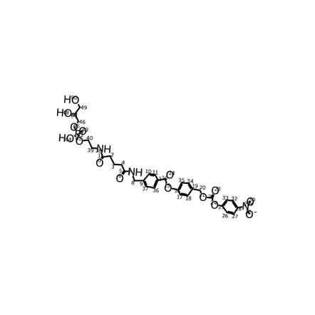 O=C(CCCC(=O)NCc1ccc(C(=O)Oc2ccc(COC(=O)Oc3ccc([N+](=O)[O-])cc3)cc2)cc1)NCCOP(=O)(O)OC[C@H](O)CO